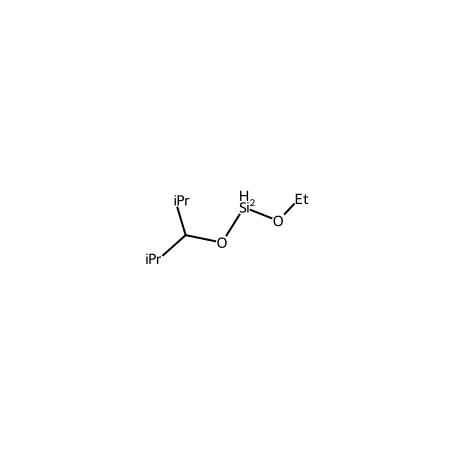 CCO[SiH2]OC(C(C)C)C(C)C